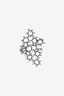 N#Cc1cc(-n2c3ccccc3c3ccc(-c4ccccc4-c4ccccc4)cc32)c(-n2c3ccccc3c3ccc(-c4ccccc4-c4ccccc4)cc32)cc1-c1ccncc1